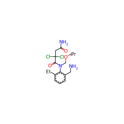 CCc1cccc(CN)c1N(COC(C)C)C(=O)C(Cl)(Cl)CC(N)=O